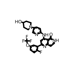 O=c1[nH]ccc2nc(-c3cc(OC(F)(F)F)ccc3F)cc(Nc3ccc(N4CCC(O)CC4)cn3)c12